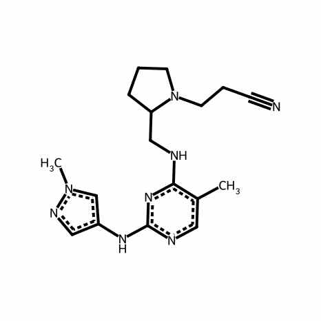 Cc1cnc(Nc2cnn(C)c2)nc1NCC1CCCN1CCC#N